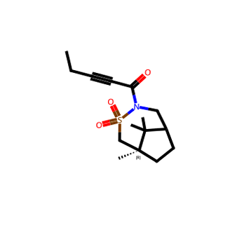 CCC#CC(=O)N1CC2CC[C@@](C)(CS1(=O)=O)C2(C)C